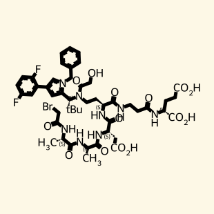 C[C@H](NC(=O)CBr)C(=O)N[C@H](C)C(=O)N[C@@H](CC(=O)O)C(=O)N[C@@H](CCN(C(=O)CO)[C@@H](c1cc(-c2cc(F)ccc2F)cn1Cc1ccccc1)C(C)(C)C)C(=O)NCCC(=O)N[C@H](CCC(=O)O)C(=O)O